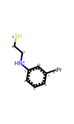 CC(C)c1cccc(NCCS)c1